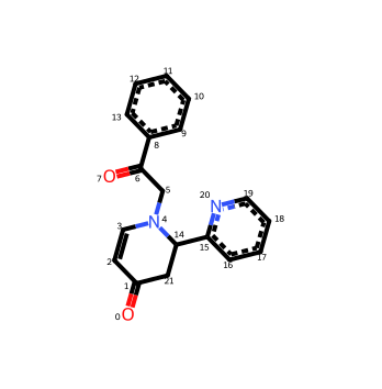 O=C1C=CN(CC(=O)c2ccccc2)C(c2ccccn2)C1